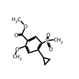 COC(=O)c1cc(S(C)(=O)=O)c(C2CC2)cc1OC